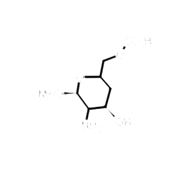 CO[C@H]1OC(COS(=O)(=O)O)C[C@@H](O)C1N